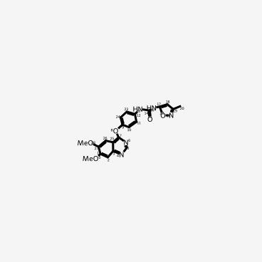 COc1cc2ncnc(Oc3ccc(NC(=O)Nc4cc(C)no4)cc3)c2cc1OC